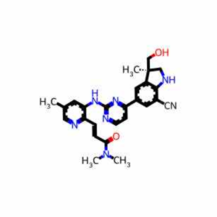 Cc1cnc(/C=C/C(=O)N(C)C)c(Nc2nccc(-c3cc(C#N)c4c(c3)[C@@](C)(CO)CN4)n2)c1